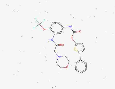 O=C(CN1CCOCC1)Nc1cc(NC(=O)Oc2ccc(-c3ccccc3)s2)ccc1OC(F)(F)F